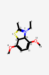 CC[N+]1=C(C)SC2C(OC)=CC=C(OC)C21